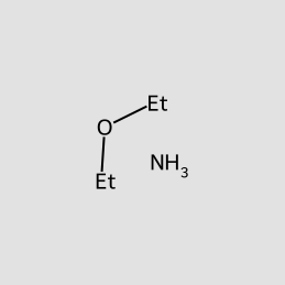 CCOCC.N